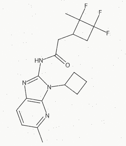 Cc1ccc2nc(NC(=O)CC3CC(F)(F)C3(C)F)n(C3CCC3)c2n1